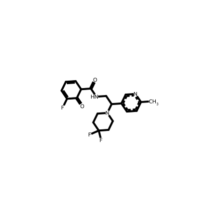 Cc1ccc(C(CNC(=O)C2C=CC=C(F)C2=O)N2CCC(F)(F)CC2)cn1